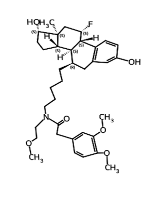 COCCN(CCCCC[C@@H]1Cc2cc(O)ccc2[C@@H]2[C@@H]1[C@@H]1CC[C@H](O)[C@@]1(C)C[C@@H]2F)C(=O)Cc1ccc(OC)c(OC)c1